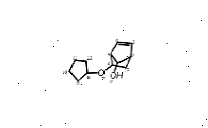 OC1C2C=CC1C(OC1CCCC1)C2